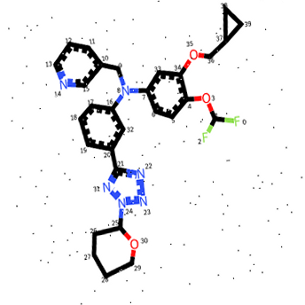 FC(F)Oc1ccc(N(Cc2cccnc2)c2cccc(-c3nnn(C4CCCCO4)n3)c2)cc1OCC1CC1